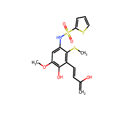 C=C(O)/C=C/c1c(O)c(OC)cc(NS(=O)(=O)c2cccs2)c1SC